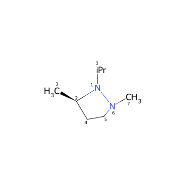 CC(C)N1[C@H](C)CCN1C